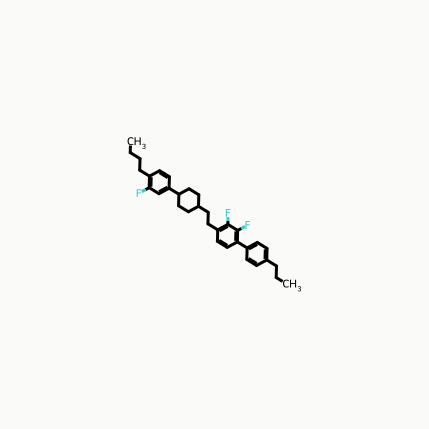 CCCCc1ccc(C2CCC(CCc3ccc(-c4ccc(CCC)cc4)c(F)c3F)CC2)cc1F